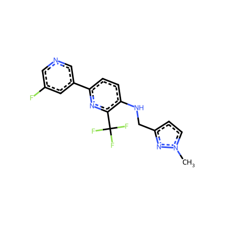 Cn1ccc(CNc2ccc(-c3cncc(F)c3)nc2C(F)(F)F)n1